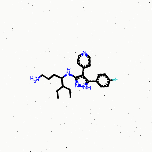 CCC(CC)C(CCCN)Nc1n[nH]c(-c2ccc(F)cc2)c1-c1ccncc1